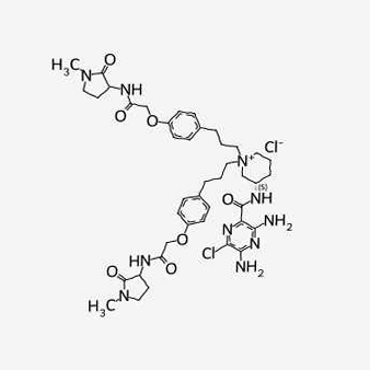 CN1CCC(NC(=O)COc2ccc(CCC[N+]3(CCCc4ccc(OCC(=O)NC5CCN(C)C5=O)cc4)CCC[C@H](NC(=O)c4nc(Cl)c(N)nc4N)C3)cc2)C1=O.[Cl-]